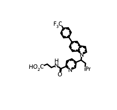 CC(C)CC(c1ccc(C(=O)NCCC(=O)O)nc1)n1ccc2cc(-c3ccc(C(F)(F)F)cc3)ccc21